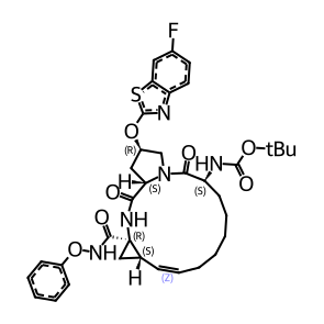 CC(C)(C)OC(=O)N[C@H]1CCCCC/C=C\[C@@H]2C[C@@]2(C(=O)NOc2ccccc2)NC(=O)[C@@H]2C[C@@H](Oc3nc4ccc(F)cc4s3)CN2C1=O